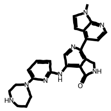 Cn1ccc2c(-c3ncc(Nc4cccc(N5CCCNCC5)n4)c4c3CNC4=O)ccnc21